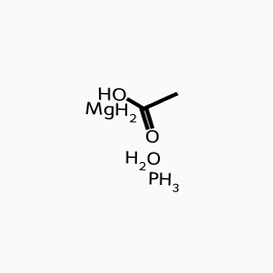 CC(=O)O.O.P.[MgH2]